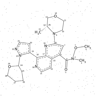 CON(C)C(=O)c1cc(N2CCOC[C@H]2C)nc2c(-c3ccnn3C3CCCCO3)nccc12